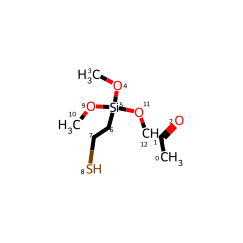 CC=O.CO[Si](CCS)(OC)OC